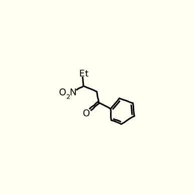 CCC(CC(=O)c1ccccc1)[N+](=O)[O-]